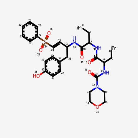 CC(C)CC(NC(=O)C(CC(C)C)NC(=O)N1CCOCC1)C(=O)NC(C=CS(=O)(=O)c1ccccc1)Cc1ccc(O)cc1